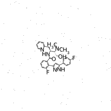 CN(C)[C@H](CO)[C@H](Cc1ccccn1)NC(=O)c1cccc(F)c1-c1cc(-c2ccc(F)cc2)[nH]n1